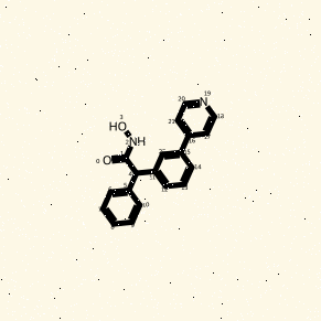 O=C(NO)C(c1ccccc1)c1cccc(-c2ccncc2)c1